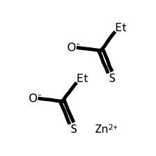 CCC([O-])=S.CCC([O-])=S.[Zn+2]